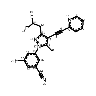 Cc1c(C#Cc2ccccn2)c(CC(F)F)nn1-c1cc(F)cc(C#N)c1